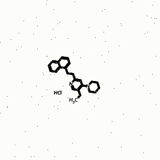 CCc1cnc(CCc2cccc3ccccc23)cc1N1CCCCC1.Cl